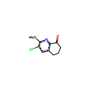 COc1nc2c(cc1Cl)CCCC2=O